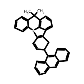 CC1(C)c2ccccc2-n2c3c(c4cccc1c42)CC(c1c2ccccc2cc2ccccc12)C=C3